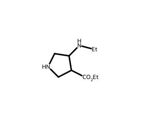 CCNC1CNCC1C(=O)OCC